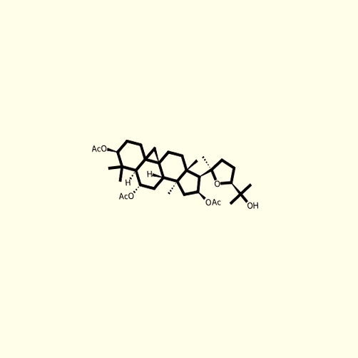 CC(=O)O[C@H]1C[C@@]2(C)[C@@H]3C[C@H](OC(C)=O)[C@H]4C(C)(C)[C@@H](OC(C)=O)CCC45C[C@@]35CC[C@]2(C)[C@H]1[C@@]1(C)CC[C@@H](C(C)(C)O)O1